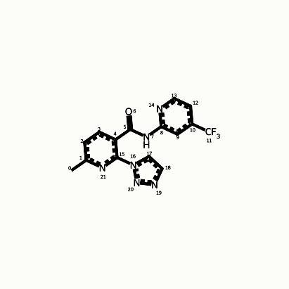 Cc1ccc(C(=O)Nc2cc(C(F)(F)F)ccn2)c(-n2ccnn2)n1